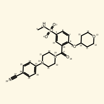 CNS(=O)(=O)c1ccc(OC2CCOCC2)c(C(=O)N2CCN(c3ccc(C#N)cc3)CC2)c1